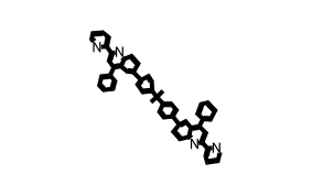 CC(C)(c1ccc(-c2ccc3nc(-c4ccccn4)cc(-c4ccccc4)c3c2)cc1)c1ccc(-c2ccc3nc(-c4ccccn4)cc(-c4ccccc4)c3c2)cc1